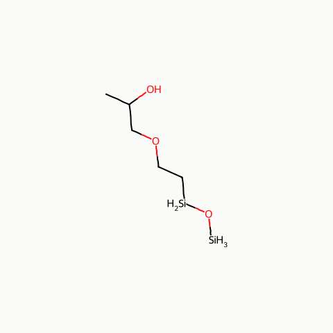 CC(O)COCC[SiH2]O[SiH3]